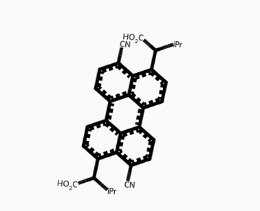 CC(C)C(C(=O)O)c1ccc2c3ccc(C#N)c4c(C(C(=O)O)C(C)C)ccc(c5ccc(C#N)c1c52)c43